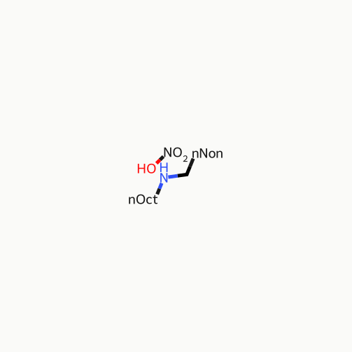 CCCCCCCCCCNCCCCCCCC.O=[N+]([O-])O